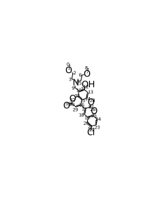 COCCN(CCOC)Cc1c(O)ccc2c(-c3cc4cc(Cl)ccc4oc3=O)cc(=O)oc12